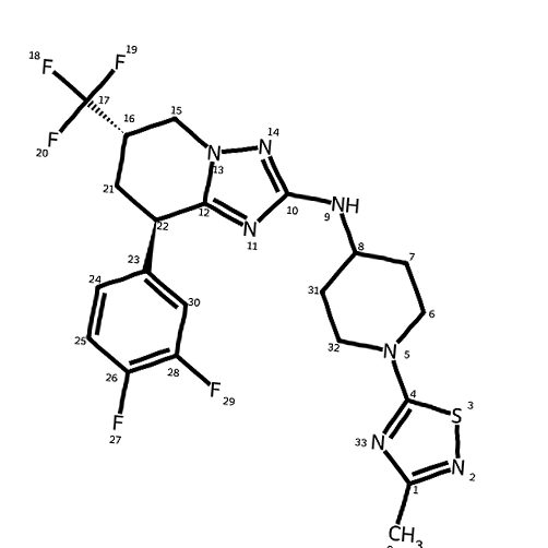 Cc1nsc(N2CCC(Nc3nc4n(n3)C[C@@H](C(F)(F)F)C[C@@H]4c3ccc(F)c(F)c3)CC2)n1